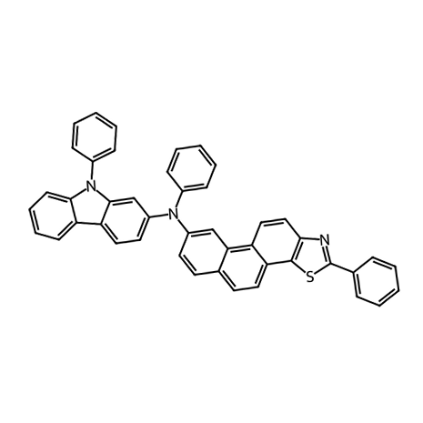 c1ccc(-c2nc3ccc4c5cc(N(c6ccccc6)c6ccc7c8ccccc8n(-c8ccccc8)c7c6)ccc5ccc4c3s2)cc1